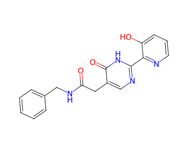 O=C(Cc1cnc(-c2ncccc2O)[nH]c1=O)NCc1ccccc1